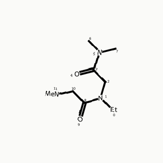 CCN(CC(=O)N(C)C)C(=O)CNC